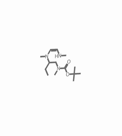 CCC(CN(C)C(=O)OC(C)(C)C)N(C)/C=C\NC